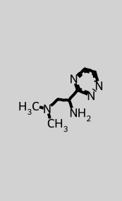 CN(C)CC(N)c1nccnn1